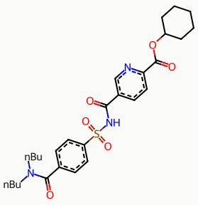 CCCCN(CCCC)C(=O)c1ccc(S(=O)(=O)NC(=O)c2ccc(C(=O)OC3CCCCC3)nc2)cc1